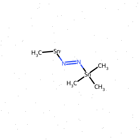 [CH3][Sn][N]=[N][Sn]([CH3])([CH3])[CH3]